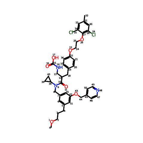 COCCCc1cc(CN(C(=O)C(CNC(=O)O)Cc2ccc(OCCOc3c(Cl)cc(C)cc3Cl)cc2)C2CC2)cc(OCc2ccncc2)c1